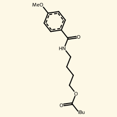 CCC(C)C(=O)OCCCCNC(=O)c1ccc(OC)cc1